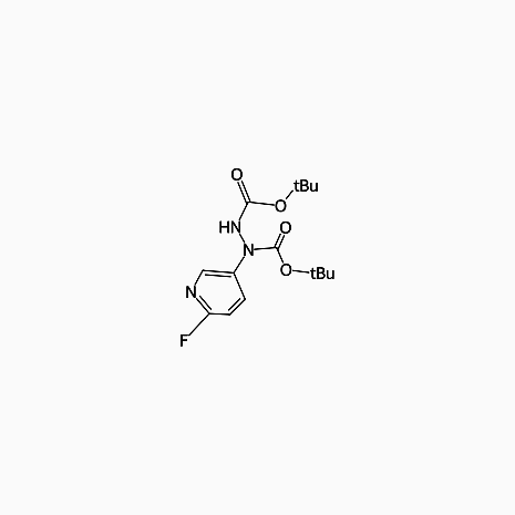 CC(C)(C)OC(=O)NN(C(=O)OC(C)(C)C)c1ccc(F)nc1